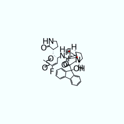 CS(=O)(=O)/C(F)=C\[C@H](C[C@H]1CCNC1=O)NC(=O)[C@H]1[C@H]2CC[C@H](CC2(F)F)N1C(=O)C1(O)c2ccccc2-c2ccccc21